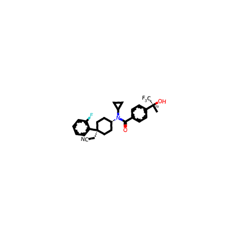 C[C@](O)(c1ccc(C(=O)N(C2CC2)[C@H]2CC[C@](CC#N)(c3ccccc3F)CC2)cc1)C(F)(F)F